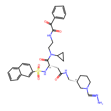 NN=CN1CCC[C@@H](CNC(=O)C[C@H](NS(=O)(=O)c2ccc3ccccc3c2)C(=O)N(CCNC(=O)C(=O)c2ccccc2)C2CC2)C1